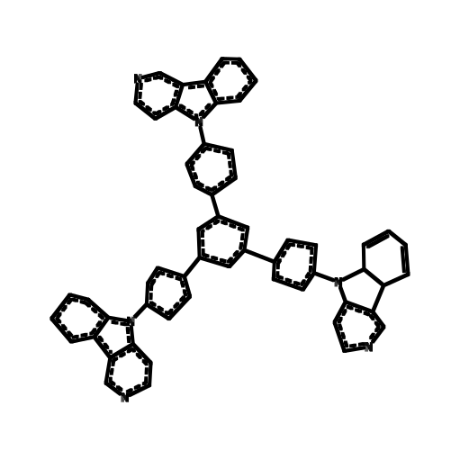 C1=CC2c3cnccc3N(c3ccc(-c4cc(-c5ccc(-n6c7ccccc7c7cnccc76)cc5)cc(-c5ccc(-n6c7ccccc7c7cnccc76)cc5)c4)cc3)C2C=C1